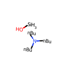 CCCCN(CCCC)CCCC.O[SiH3]